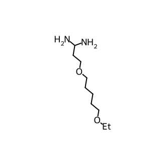 CCOCCCCCOCCC(N)N